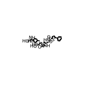 CN1NC(CNS(=O)(=O)c2ccc(-c3ccccc3)s2)=CN1[C@@H](Cc1ccc(C(=N)NO)cc1)C(=O)NO